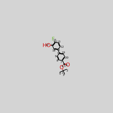 CC(C)(C)OC(=O)c1ccc(-c2ccc(F)c(O)c2)cc1